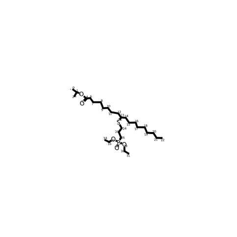 [CH2]C([CH2])OC(=O)CCCCCCCC(CCCCCCCCC)SCCCP(=O)(OCC)OCC